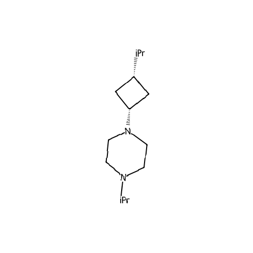 CC(C)N1CCN([C@H]2C[C@@H](C(C)C)C2)CC1